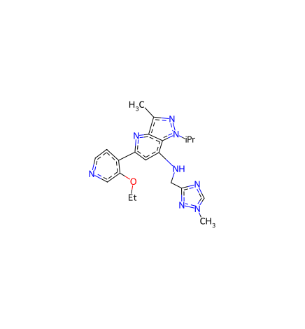 CCOc1cnccc1-c1cc(NCc2ncn(C)n2)c2c(n1)c(C)nn2C(C)C